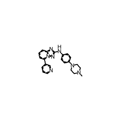 CN1CCN(c2ccc(Nc3nc4cccc(-c5cccnc5)n4n3)cc2)CC1